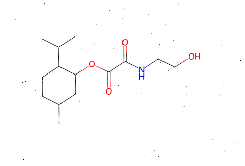 CC1CCC(C(C)C)C(OC(=O)C(=O)NCCO)C1